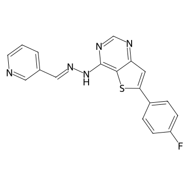 Fc1ccc(-c2cc3ncnc(NN=Cc4cccnc4)c3s2)cc1